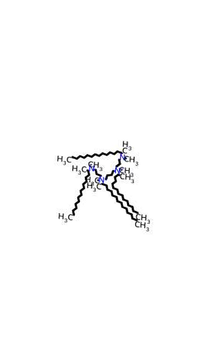 CCCCCCCCCCCCCCC(C)N(C)CCC[N+](C)(CCCC[N+](C)(CCCN(C)C(C)CCCCCCCCCCCCCC)C(C)CCCCCCCCCCCCCC)C(C)CCCCCCCCCCCCCC